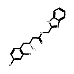 N[C@@H](CC(=O)NCc1nc2ccccc2[nH]1)Cc1ccc(Cl)cc1Cl